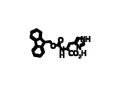 O=C(NC(Cc1c[nH]cn1)C(=O)O)OCC1c2ccccc2-c2ccccc21